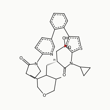 CC1COCC(C)C1C[C@H](CC(=O)O)C(=O)N(c1nc(-c2ccccc2-c2ccc(N3CCCC3=O)nc2)cs1)C1CC1